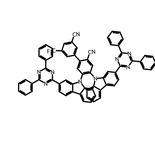 N#Cc1cc(-c2cc(-n3c4ccccc4c4ccc(-c5nc(-c6ccccc6)nc(-c6ccccc6)n5)cc43)c(-n3c4ccccc4c4ccc(-c5nc(-c6ccccc6)nc(-c6ccccc6)n5)cc43)cc2C#N)cc(C(F)(F)F)c1